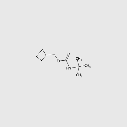 CC(C)(C)NC(=O)OCC1CCC1